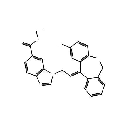 CCCCCCNC(=O)c1ccc2ncn(CC=C3c4ccccc4COc4ccc(C(=O)O)cc43)c2c1